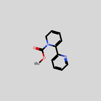 CC(C)(C)OC(=O)N1CC=CC=C1c1ccccn1